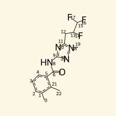 Cc1cccc(C(=O)Nc2nc(CC(F)C(F)F)n(C)n2)c1C